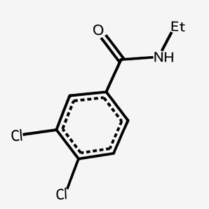 [CH2]CNC(=O)c1ccc(Cl)c(Cl)c1